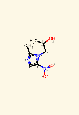 Cc1ncc([N+](=O)[O-])n1C[C@@H](C)O